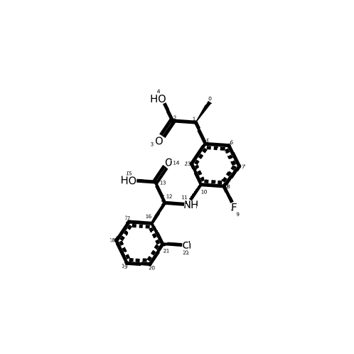 C[C@H](C(=O)O)c1ccc(F)c(NC(C(=O)O)c2ccccc2Cl)c1